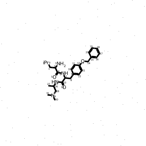 CC(C)CC(N)C(=O)NC(Cc1ccc(OCc2ccccc2)cc1)C(=O)NC(C)CN(C)C